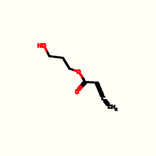 C=C=CC(=O)OCCCO